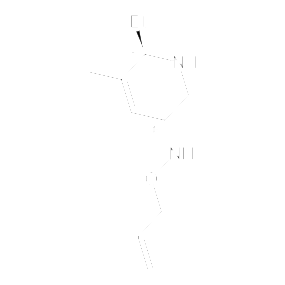 C=CCON[C@@H]1C=C(C)[C@@H](CC)NC1